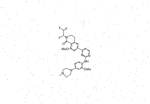 COc1cc(N2CCN(C)CC2)ccc1Nc1nccc(-c2cc3c(c(OC)c2)C(=O)N(C(F)C(F)F)CC3)n1